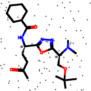 CC(=O)CC[C@H](NC(=O)C1CCCCC1)c1nnc([C@H](COC(C)(C)C)N(C)C)o1